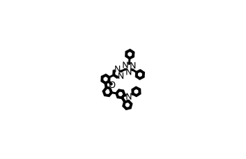 c1ccc(-c2nc(-c3ccccc3)nc(-c3ncc(-c4cccc5c4oc4c(-c6ccc7c(c6)c6ccccc6n7-c6ccccc6)cccc45)cn3)n2)cc1